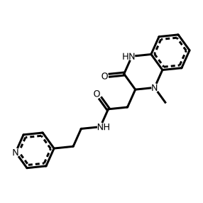 CN1c2ccccc2NC(=O)C1CC(=O)NCCc1ccncc1